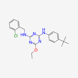 CCOc1nc(NCc2ccccc2Cl)nc(Nc2ccc(C(C)(C)C)cc2)n1